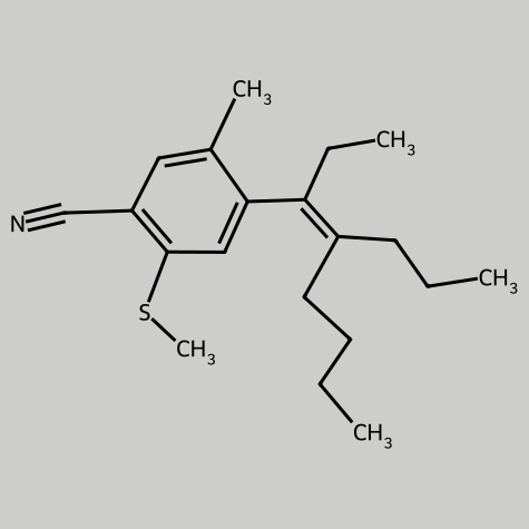 CCCC/C(CCC)=C(/CC)c1cc(SC)c(C#N)cc1C